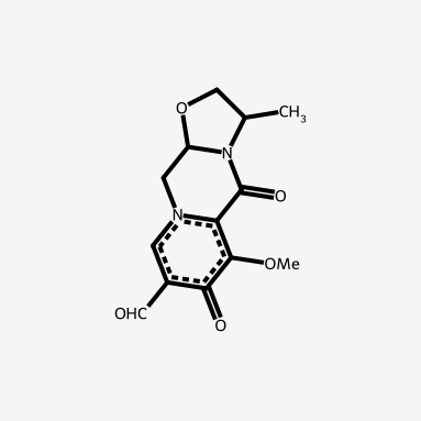 COc1c2n(cc(C=O)c1=O)CC1OCC(C)N1C2=O